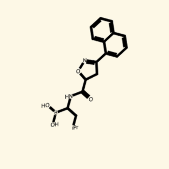 CC(C)CC(NC(=O)C1CC(c2cccc3ccccc23)=NO1)B(O)O